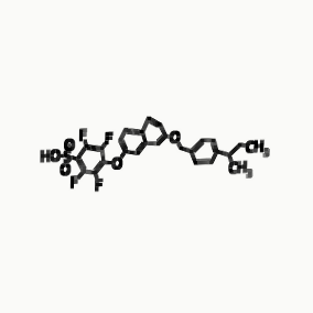 CCC(C)c1ccc(COc2ccc3ccc(Oc4c(F)c(F)c(S(=O)(=O)O)c(F)c4F)cc3c2)cc1